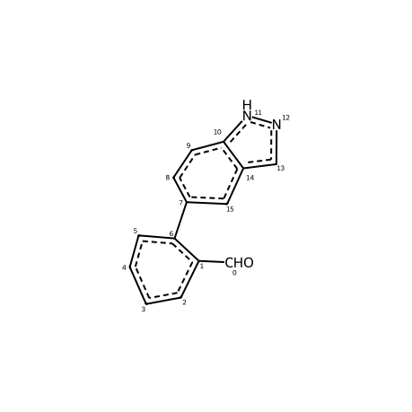 O=Cc1ccccc1-c1ccc2[nH]ncc2c1